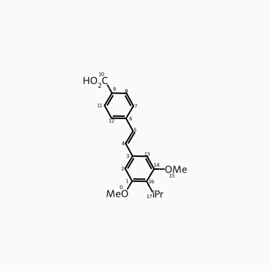 COc1cc(C=Cc2ccc(C(=O)O)cc2)cc(OC)c1C(C)C